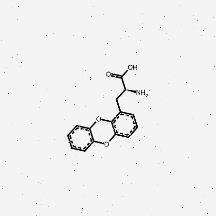 N[C@@H](Cc1cccc2c1Oc1ccccc1O2)C(=O)O